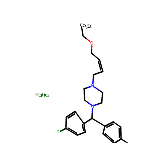 CCOC(=O)COC/C=C\CN1CCN(C(c2ccc(F)cc2)c2ccc(F)cc2)CC1.Cl.Cl